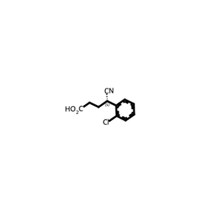 N#C[C@@H](CCC(=O)O)c1ccccc1Cl